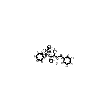 C[C@H](NP(C)(=O)Oc1ccccc1)C(=O)OCc1ccccc1